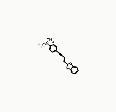 CN(C)c1ccc(C#C/C=C/c2nc3ccccc3s2)cc1